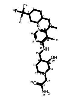 CN(CC1CCC(C(F)(F)F)CC1)c1ncnc(NCC2CCN(CC(N)=O)CC2O)c1F